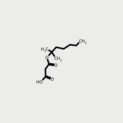 CCCCCC(C)(C)OC(=O)CC(=O)O